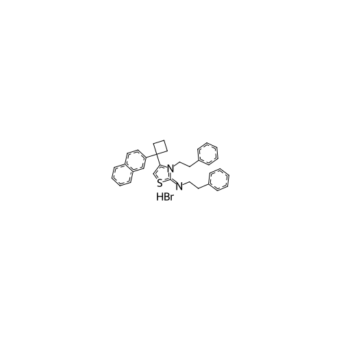 Br.c1ccc(CC/N=c2/scc(C3(c4ccc5ccccc5c4)CCC3)n2CCc2ccccc2)cc1